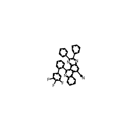 N#Cc1cc2nc(-c3ccccc3)c(-c3ccccc3)nc2c2c(-c3ccccc3-c3cc(F)c(F)c(F)c3)nc3ccccc3c12